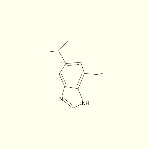 CC(C)c1cc(F)c2[nH]cnc2c1